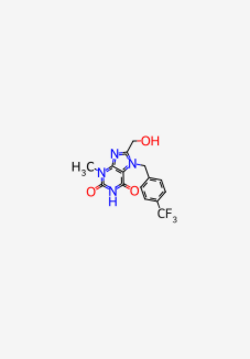 Cn1c(=O)[nH]c(=O)c2c1nc(CO)n2Cc1ccc(C(F)(F)F)cc1